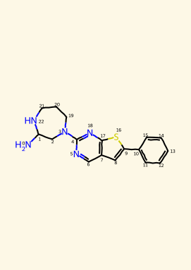 NC1CN(c2ncc3cc(-c4ccccc4)sc3n2)CCCN1